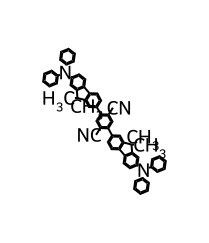 CC1(C)c2cc(-c3cc(C#N)c(-c4ccc5c(c4)C(C)(C)c4cc(N(c6ccccc6)c6ccccc6)ccc4-5)cc3C#N)ccc2-c2ccc(N(c3ccccc3)c3ccccc3)cc21